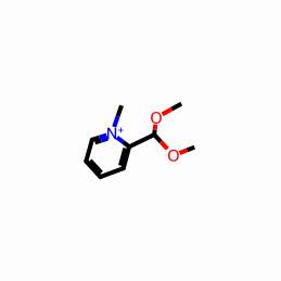 COC(OC)c1cccc[n+]1C